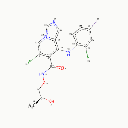 C[C@H](O)CONC(=O)c1c(F)cn2cncc2c1Nc1ccc(I)cc1F